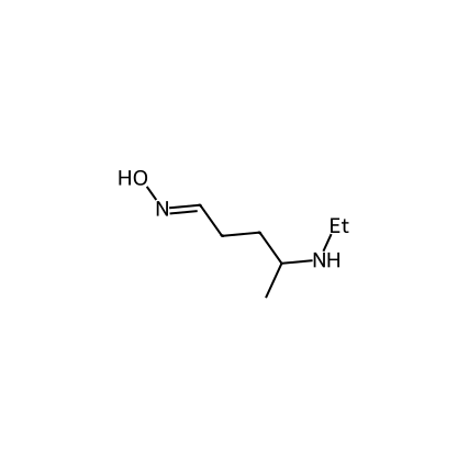 CCNC(C)CCC=NO